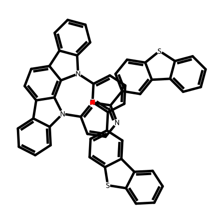 c1cc(-c2ccc3sc4ccccc4c3c2)nc(-n2c3ccccc3c3ccc4c5ccccc5n(-c5ccnc(-c6ccc7sc8ccccc8c7c6)n5)c4c32)c1